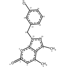 Cc1cc(=O)oc2c1c(C)nn2Cc1cccc(Cl)c1